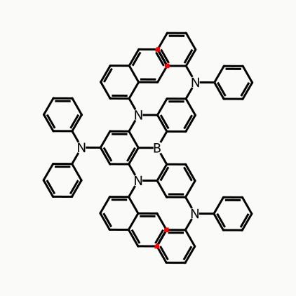 c1ccc(N(c2ccccc2)c2ccc3c(c2)N(c2cccc4ccccc24)c2cc(N(c4ccccc4)c4ccccc4)cc4c2B3c2ccc(N(c3ccccc3)c3ccccc3)cc2N4c2cccc3ccccc23)cc1